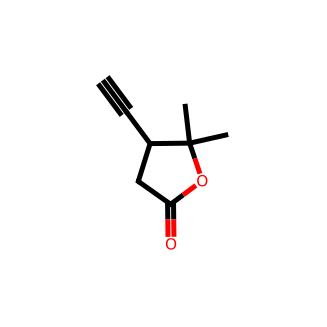 C#CC1CC(=O)OC1(C)C